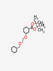 CC1(C)OB(c2cccc(OCCOCc3ccccc3)c2)OC1(C)C